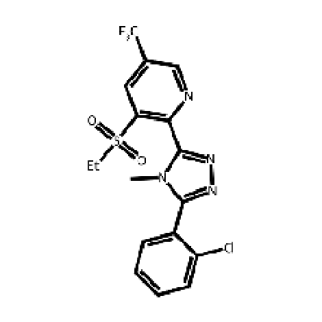 CCS(=O)(=O)c1cc(C(F)(F)F)cnc1-c1nnc(-c2ccccc2Cl)n1C